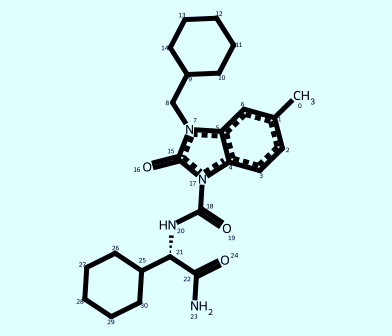 Cc1ccc2c(c1)n(CC1CCCCC1)c(=O)n2C(=O)N[C@H](C(N)=O)C1CCCCC1